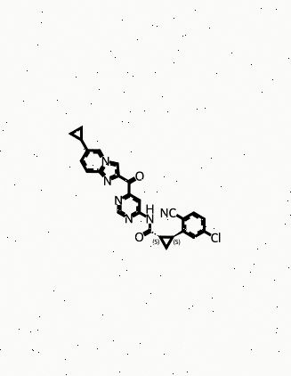 N#Cc1ccc(Cl)cc1[C@H]1C[C@@H]1C(=O)Nc1cc(C(=O)c2cn3cc(C4CC4)ccc3n2)ncn1